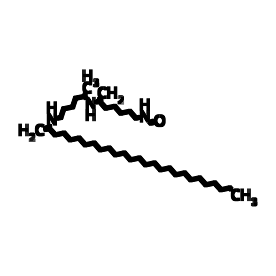 C=C(CCCCCCCCCCCCCCCCCCCCCCCCC)NCCCCC(C)NC(=C)CCCCCNC=O